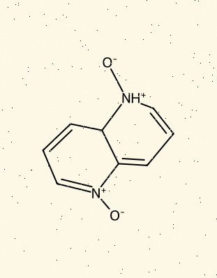 [O-][N+]1=CC=CC2C1=CC=C[NH+]2[O-]